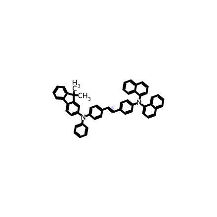 CC1(C)c2ccccc2-c2ccc(N(c3ccccc3)c3ccc(/C=C/c4ccc(N(c5cccc6ccccc56)c5cccc6ccccc56)cc4)cc3)cc21